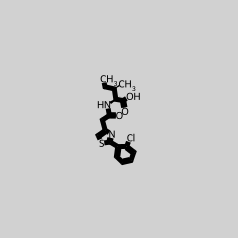 CC[C@H](C)[C@H](NC(=O)Cc1csc(-c2ccccc2Cl)n1)C(=O)O